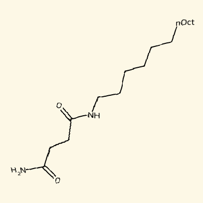 CCCCCCCCCCCCCCNC(=O)CCC(N)=O